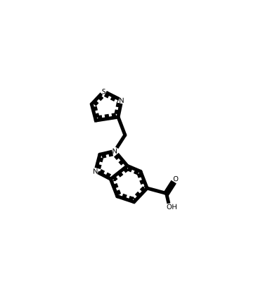 O=C(O)c1ccc2ncn(Cc3ccsn3)c2c1